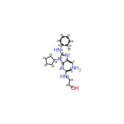 C=C(/N=C1\C(=C/N)N=C(Nc2ccccc2F)N1C1CCCC1)NCCO